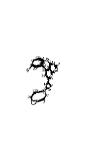 Nc1ncnc2nc(-c3csc(N4CCOCC4)n3)cc(-c3cccc(Br)c3)c12